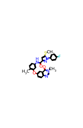 CSc1cc(C(=O)Nc2ccc(C)c(Oc3ccc4ncn(C)c(=O)c4c3)c2)nn1-c1ccc(F)cc1